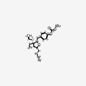 C=CC[C@@]1(CC(C)C)C[C@H](CN=[N+]=[N-])ON1Cc1ccc(OC(=O)OC(C)(C)C)cc1